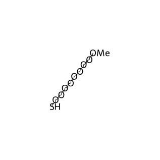 COCCOCCOCCOCCOCCOCCOCCOCCOCCS